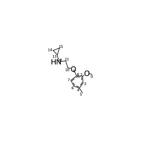 COc1cc(C)ccc1OCCNC1CC1